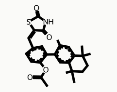 CC(=O)Oc1ccc(C=C2SC(=O)NC2=O)cc1-c1cc2c(cc1C)C(C)(C)CCC2(C)C